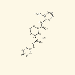 Cl.O=C(O)c1ccccc1NC(=O)C1CCCN(C(=O)CCC2CCNCC2)C1